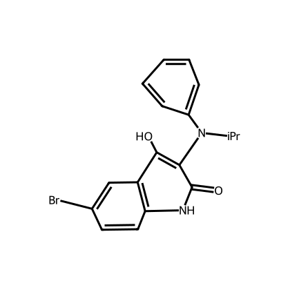 CC(C)N(c1ccccc1)c1c(O)c2cc(Br)ccc2[nH]c1=O